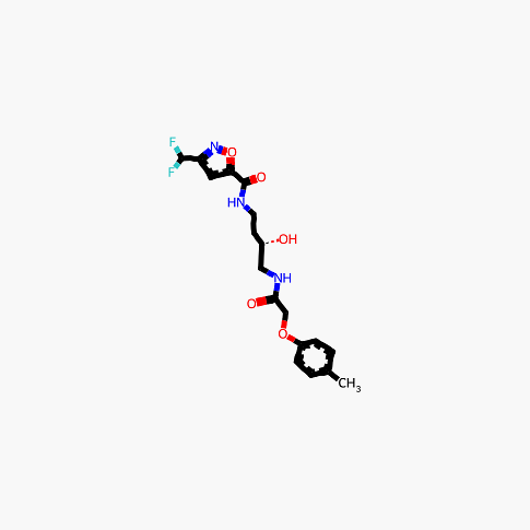 Cc1ccc(OCC(=O)NC[C@@H](O)CCNC(=O)c2cc(C(F)F)no2)cc1